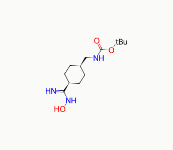 CC(C)(C)OC(=O)NC[C@H]1CC[C@@H](C(=N)NO)CC1